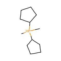 C[PH](C)(C1CCCC1)C1CCCC1